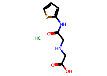 Cl.O=C(O)CNCC(=O)Nc1cccs1